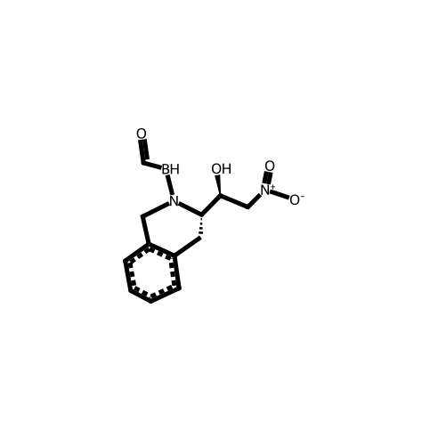 O=CBN1Cc2ccccc2C[C@H]1[C@@H](O)C[N+](=O)[O-]